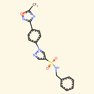 O=S(=O)(NCc1ccccc1)c1cnn(-c2ccc(-c3noc(C(F)(F)F)n3)cc2)c1